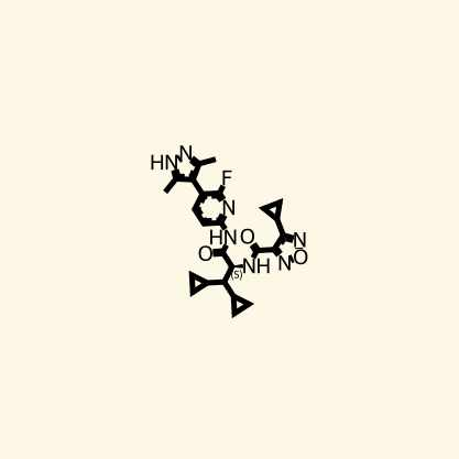 Cc1n[nH]c(C)c1-c1ccc(NC(=O)[C@@H](NC(=O)c2nonc2C2CC2)C(C2CC2)C2CC2)nc1F